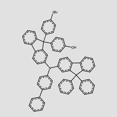 CC(C)(C)c1ccc(C2(c3ccc(O)cc3)c3ccccc3-c3ccc(N(c4ccc(-c5ccccc5)cc4)c4ccc5c(c4)C(c4ccccc4)(c4ccccc4)c4ccccc4-5)cc32)cc1